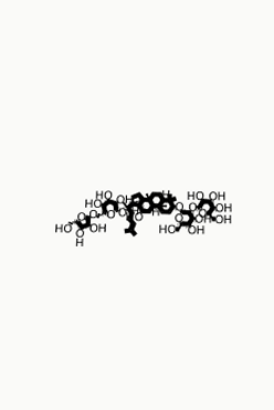 CC(C)=CCC[C@](C)(O[C@@H]1O[C@H](CO[C@@H]2O[C@@H](CO)[C@H](O)[C@H]2O)[C@@H](O)[C@H](O)[C@H]1O)[C@H]1CC[C@]2(C)[C@@H]1[C@H](O)C[C@@H]1[C@@]3(C)CC[C@H](O[C@@H]4O[C@H](CO)[C@@H](O)[C@H](O)[C@H]4O[C@@H]4O[C@H](CO)[C@@H](O)[C@H](O)[C@H]4O)C(C)(C)[C@@H]3CC[C@]12C